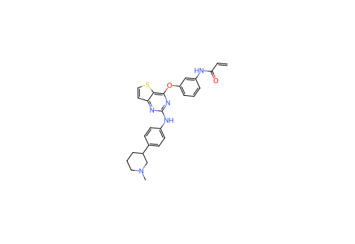 C=CC(=O)Nc1cccc(Oc2nc(Nc3ccc(C4CCCN(C)C4)cc3)nc3ccsc23)c1